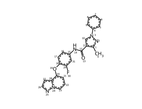 Cc1nn(-c2ccccc2)cc1C(=O)Nc1ccc(Oc2cccn3nccc23)c(F)c1